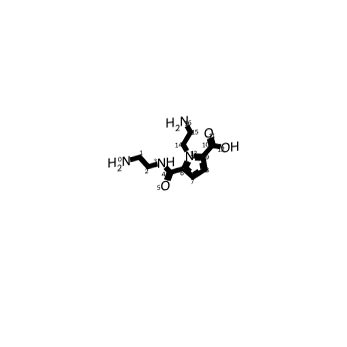 NCCNC(=O)c1ccc(C(=O)O)n1CCN